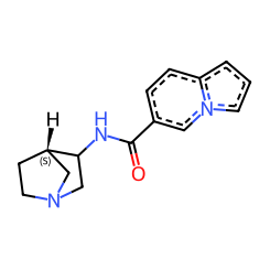 O=C(NC1CN2CC[C@H]1C2)c1ccc2cccn2c1